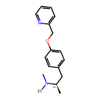 CCN(C)[C@H](C)Cc1ccc(OCc2ccccn2)cc1